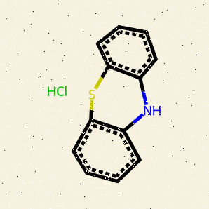 Cl.c1ccc2c(c1)Nc1ccccc1S2